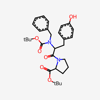 CC(C)(C)OC(=O)C1CCCN1C(=O)C(Cc1ccc(O)cc1)N(Cc1ccccc1)C(=O)OC(C)(C)C